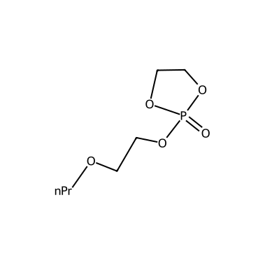 CCCOCCOP1(=O)OCCO1